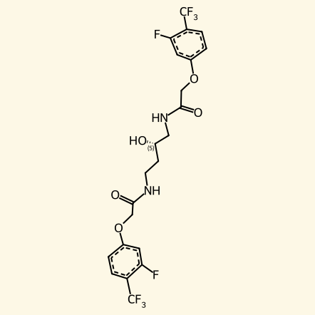 O=C(COc1ccc(C(F)(F)F)c(F)c1)NCC[C@H](O)CNC(=O)COc1ccc(C(F)(F)F)c(F)c1